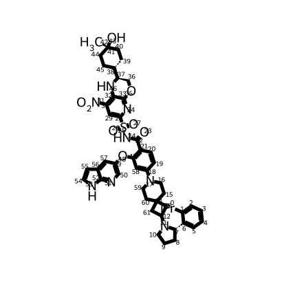 CC(C)c1ccccc1[C@@H]1CCCN1C1CC2(CCN(c3ccc(C(=O)NS(=O)(=O)c4cc([N+](=O)[O-])c5c(n4)OC[C@H]([C@H]4CC[C@@](C)(O)CC4)N5)c(Oc4cnc5[nH]ccc5c4)c3)CC2)C1